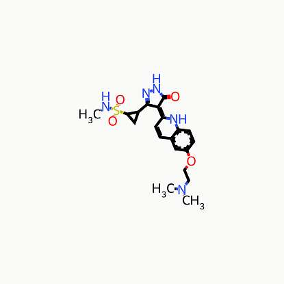 CNS(=O)(=O)C1CC1C1=NNC(=O)C1=C1C=Cc2cc(OCCN(C)C)ccc2N1